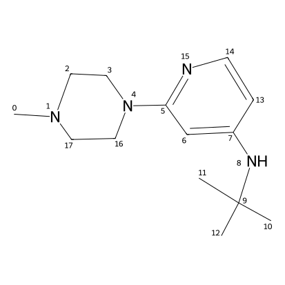 CN1CCN(c2cc(NC(C)(C)C)ccn2)CC1